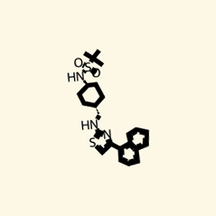 CC(C)(C)S(=O)(=O)N[C@H]1CC[C@H](CNc2nc(-c3cccc4ccccc34)cs2)CC1